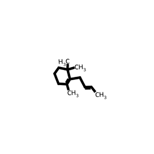 CC=CCC1=C(C)CCCC1(C)C